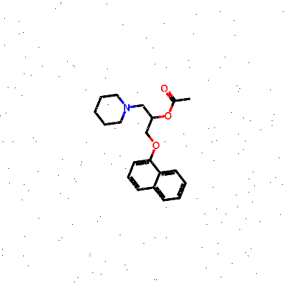 CC(=O)OC(COc1cccc2ccccc12)CN1CCCCC1